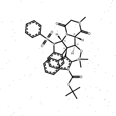 CN1CC(=O)N2[C@H](C1=O)[C@H]1O[Si](C)(C)c3c(c4ccccc4n3C(=O)OC(C)(C)C)[C@]13c1ccccc1N(S(=O)(=O)c1ccccc1)[C@H]23